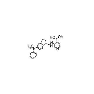 CN(c1ccc2c(c1)CC[C@H]2CNc1cnccc1C(O)O)c1ccccn1